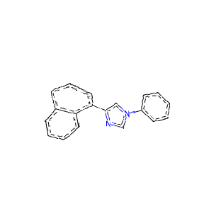 c1ccc(-n2cnc(-c3cccc4ccccc34)c2)cc1